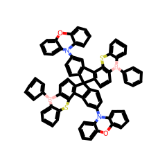 c1ccc(B2c3ccccc3Sc3c2ccc2c3-c3cc(N4c5ccccc5Oc5ccccc54)ccc3C23c2ccc(N4c5ccccc5Oc5ccccc54)cc2-c2c3ccc3c2Sc2ccccc2B3c2ccccc2)cc1